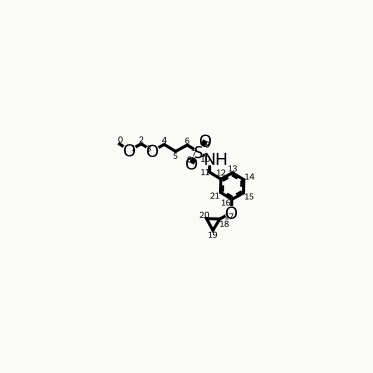 COCOCCCS(=O)(=O)NCc1cccc(OC2CC2)c1